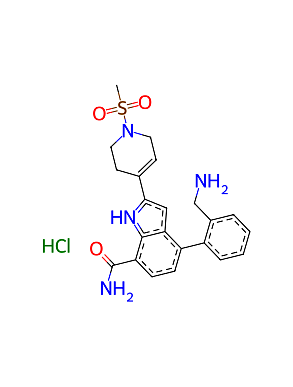 CS(=O)(=O)N1CC=C(c2cc3c(-c4ccccc4CN)ccc(C(N)=O)c3[nH]2)CC1.Cl